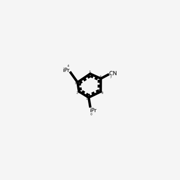 CC(C)c1[c]c(C(C)C)cc(C#N)c1